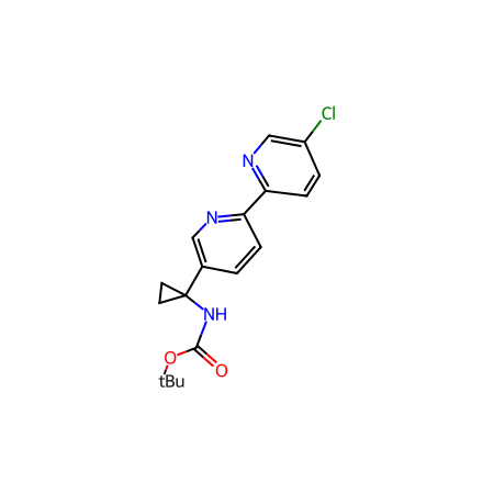 CC(C)(C)OC(=O)NC1(c2ccc(-c3ccc(Cl)cn3)nc2)CC1